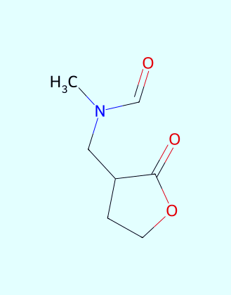 CN(C=O)CC1CCOC1=O